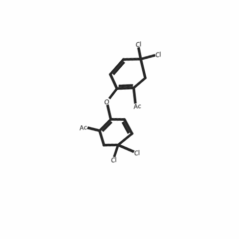 CC(=O)C1=C(OC2=C(C(C)=O)CC(Cl)(Cl)C=C2)C=CC(Cl)(Cl)C1